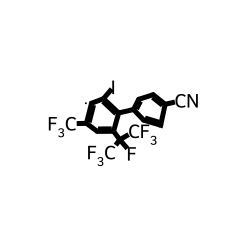 N#Cc1ccc(-c2c(I)[c]c(C(F)(F)F)cc2C(F)(C(F)(F)F)C(F)(F)F)cc1